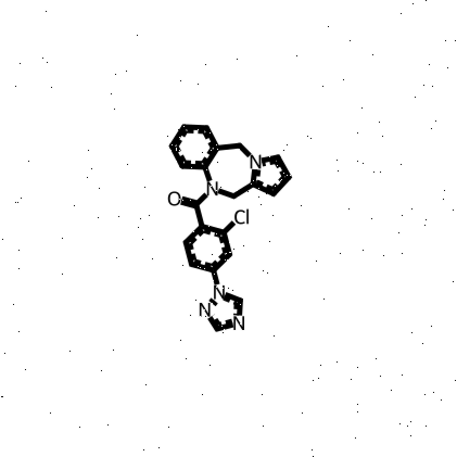 O=C(c1ccc(-n2cncn2)cc1Cl)N1Cc2cccn2Cc2ccccc21